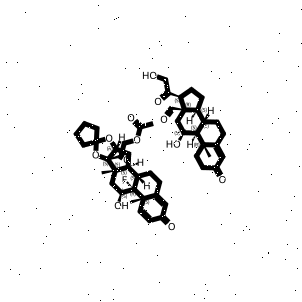 CC(=O)OCC(=O)[C@@]12OC3(CCCC3)O[C@@H]1C[C@H]1[C@@H]3CCC4=CC(=O)C=C[C@]4(C)[C@@]3(F)[C@@H](O)C[C@@]12C.C[C@]12CCC(=O)C=C1CC[C@@H]1[C@@H]2[C@@H](O)C[C@]2(C=O)[C@@H](C(=O)CO)CC[C@@H]12